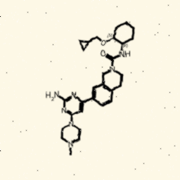 CN1CCN(c2cc(-c3ccc4c(c3)CN(C(=O)N[C@@H]3CCCC[C@@H]3OCC3CC3)CC4)nc(N)n2)CC1